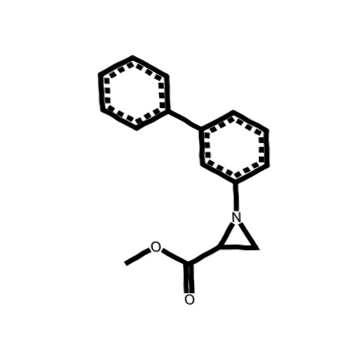 COC(=O)C1CN1c1cccc(-c2ccccc2)c1